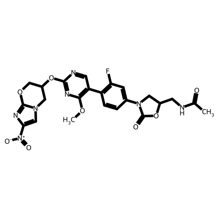 COc1nc(OC2COc3nc([N+](=O)[O-])cn3C2)ncc1-c1ccc(N2CC(CNC(C)=O)OC2=O)cc1F